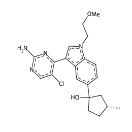 COCCn1cc(-c2nc(N)ncc2Cl)c2cc(C3(O)CC[C@@H](C)C3)ccc21